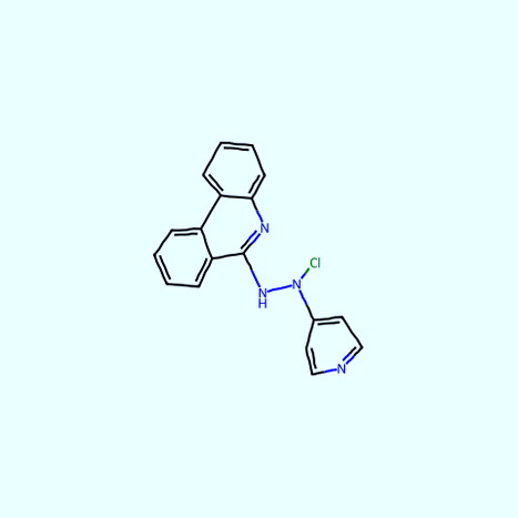 ClN(Nc1nc2ccccc2c2ccccc12)c1ccncc1